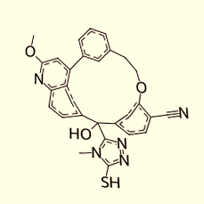 COc1cc2c3cc(ccc3n1)C(O)(c1nnc(S)n1C)c1ccc(C#N)c(c1)OCCc1cccc-2c1